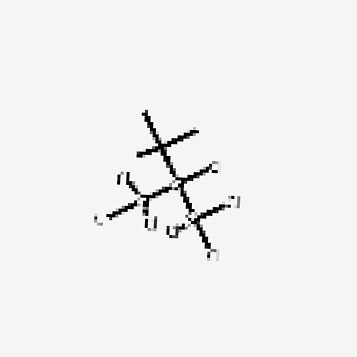 CC(C)(C)[Si](Cl)([Si](Cl)(Cl)Cl)[Si](Cl)(Cl)Cl